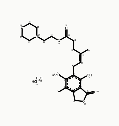 COc1c(C)c2c(c(O)c1CC=C(C)CCC(=O)OCCN1CCOCC1)C(=O)OC2.Cl.O